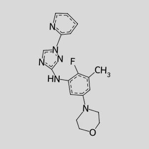 Cc1cc(N2CCOCC2)cc(Nc2ncn(-c3ccccn3)n2)c1F